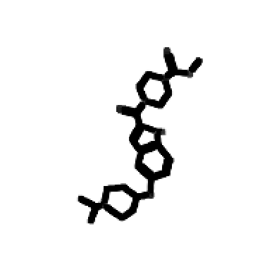 COC(=O)N1CCN(C(=O)c2cc3cc(OC4CCN(C(C)C)CC4)ccc3[nH]2)CC1